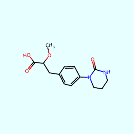 COC(Cc1ccc(N2CCCNC2=O)cc1)C(=O)O